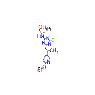 CCOc1ccc(C(C)Cc2nc(Cl)nc(N[C@@H](CO)CC(C)C)n2)cn1